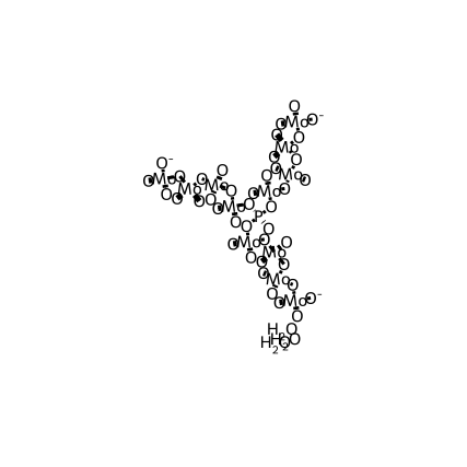 O.O.O.O=P([O][Mo](=[O])(=[O])[O][Mo](=[O])(=[O])[O][Mo](=[O])(=[O])[O][Mo](=[O])(=[O])[O-])([O][Mo](=[O])(=[O])[O][Mo](=[O])(=[O])[O][Mo](=[O])(=[O])[O][Mo](=[O])(=[O])[O-])[O][Mo](=[O])(=[O])[O][Mo](=[O])(=[O])[O][Mo](=[O])(=[O])[O][Mo](=[O])(=[O])[O-]